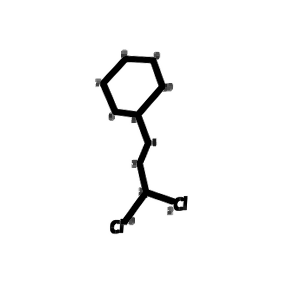 Cl[C](Cl)CCC1CCCCC1